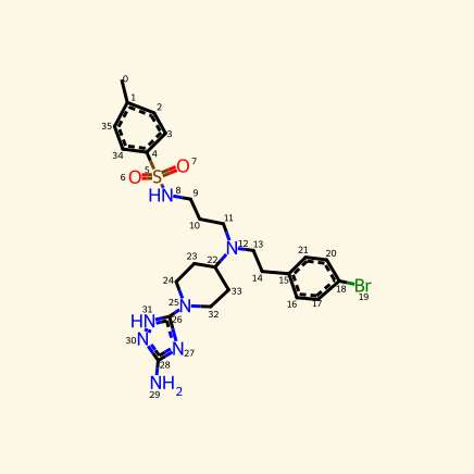 Cc1ccc(S(=O)(=O)NCCCN(CCc2ccc(Br)cc2)C2CCN(c3nc(N)n[nH]3)CC2)cc1